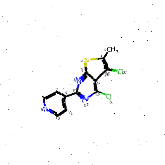 Cc1sc2nc(-c3ccncc3)nc(Cl)c2c1Cl